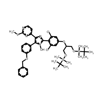 CSc1nccc(-c2nc(-c3c(Cl)cc(OC(CO[Si](C)(C)C(C)(C)C)CO[Si](C)(C)C(C)(C)C)cc3Cl)n(O)c2-c2cccc(OCc3ccccc3)c2)n1